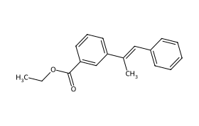 CCOC(=O)c1cccc(C(C)=Cc2ccccc2)c1